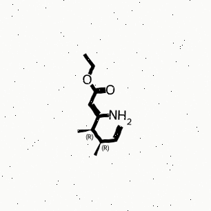 C=C[C@@H](C)[C@@H](C)C(N)=CC(=O)OCC